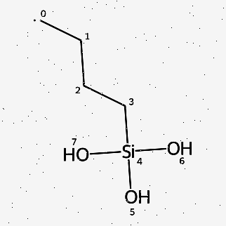 [CH2]CCC[Si](O)(O)O